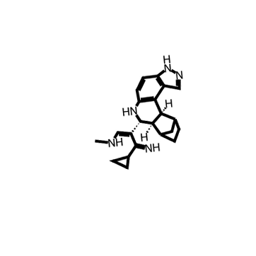 CN/C=C(\C(=N)C1CC1)[C@@H]1Nc2ccc3[nH]ncc3c2[C@H]2C3CCC(C3)[C@@H]12